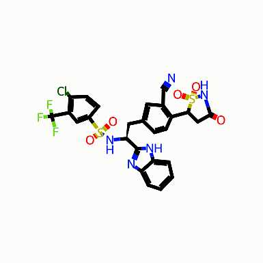 N#Cc1cc(C[C@H](NS(=O)(=O)c2ccc(Cl)c(C(F)(F)F)c2)c2nc3ccccc3[nH]2)ccc1C1CC(=O)NS1(=O)=O